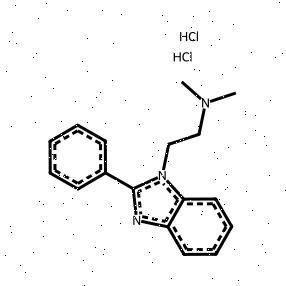 CN(C)CCn1c(-c2ccccc2)nc2ccccc21.Cl.Cl